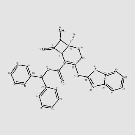 NC1C(=O)N2C(C(=O)OC(c3ccccc3)c3ccccc3)=C(Sc3nc4ccccc4s3)CS[C@H]12